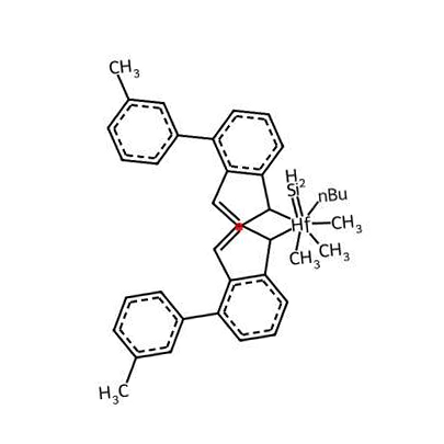 CCC[CH2][Hf]([CH3])([CH3])([CH3])(=[SiH2])([CH]1C=Cc2c(-c3cccc(C)c3)cccc21)[CH]1C=Cc2c(-c3cccc(C)c3)cccc21